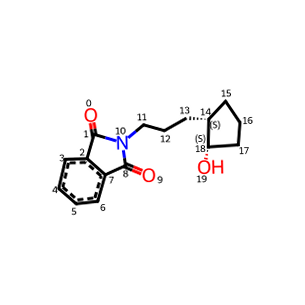 O=C1c2ccccc2C(=O)N1CCC[C@@H]1CCC[C@@H]1O